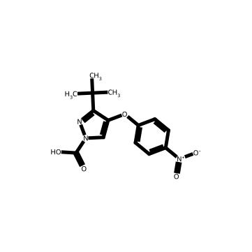 CC(C)(C)c1nn(C(=O)O)cc1Oc1ccc([N+](=O)[O-])cc1